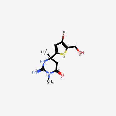 CN1C(=N)N[C@](C)(c2cc(Br)c(CO)s2)CC1=O